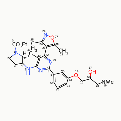 CCOC(=O)N1CCC(Nc2nc(-c3cccc(OCC(O)CNC)c3)nc(-c3c(C)noc3C)c2C)C1